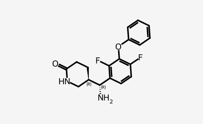 N[C@@H](c1ccc(F)c(Oc2ccccc2)c1F)[C@@H]1CCC(=O)NC1